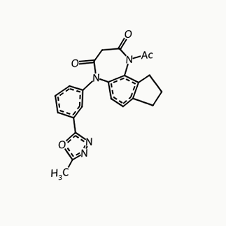 CC(=O)N1C(=O)CC(=O)N(c2cccc(-c3nnc(C)o3)c2)c2ccc3c(c21)CCC3